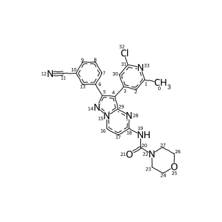 Cc1cc(-c2c(-c3cccc(C#N)c3)nn3ccc(NC(=O)N4CCOCC4)nc23)cc(Cl)n1